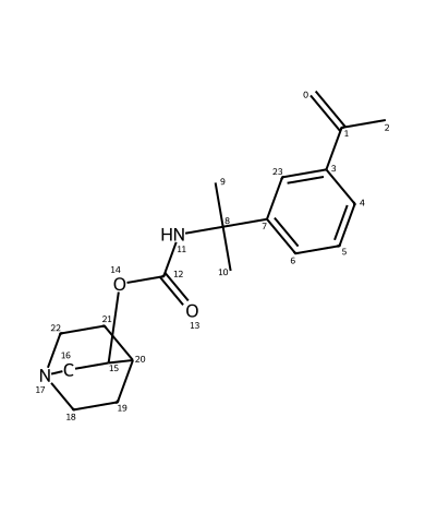 C=C(C)c1cccc(C(C)(C)NC(=O)OC2CN3CCC2CC3)c1